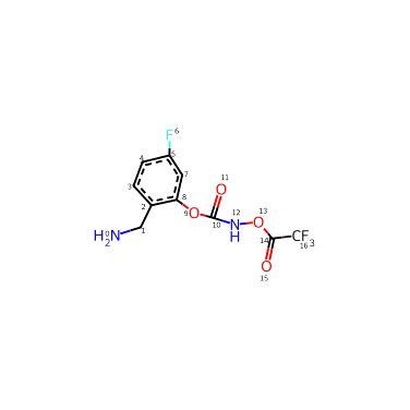 NCc1ccc(F)cc1OC(=O)NOC(=O)C(F)(F)F